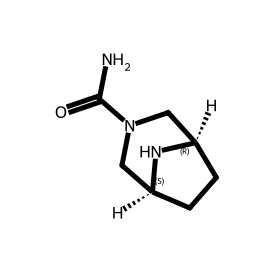 NC(=O)N1C[C@H]2CC[C@@H](C1)N2